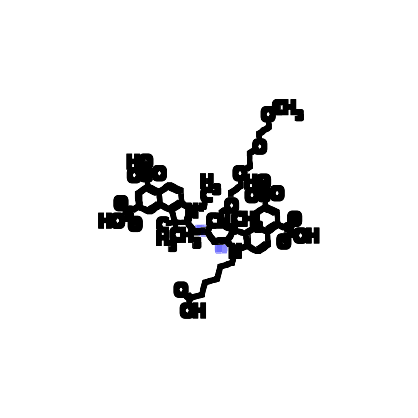 CC[N+]1=C(/C=C(C)/C=C2/N(CCCCCC(=O)O)c3ccc4c(S(=O)(=O)O)cc(S(=O)(=O)O)cc4c3C2(C)CCOCCOCCOCCOC)C(C)(C)c2c1ccc1c(S(=O)(=O)O)cc(S(=O)(=O)O)cc21